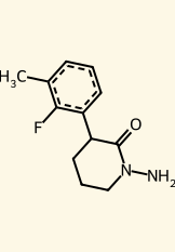 Cc1cccc(C2CCCN(N)C2=O)c1F